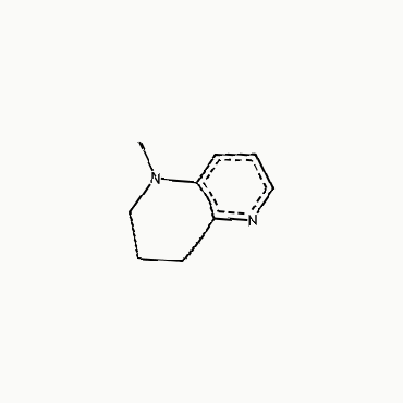 CN1CCCc2ncccc21